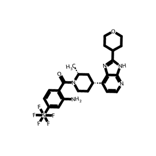 C[C@@H]1C[C@H](c2ccnc3[nH]c(C4CCOCC4)nc23)CCN1C(=O)c1ccc(S(F)(F)(F)(F)F)cc1N